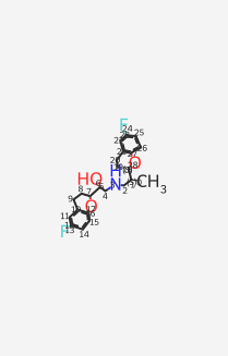 C[C@@H](CNCC(O)C1CCc2cc(F)ccc2O1)[C@@H]1CCc2cc(F)ccc2O1